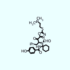 CC(C)CC(C(=O)c1nnc(SCCN(C)C)o1)N(C=O)C1(NC(=O)c2ccc(O)cc2)CCCCC1